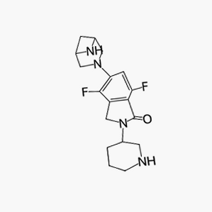 O=C1c2c(F)cc(N3CC4CC(C3)N4)c(F)c2CN1C1CCCNC1